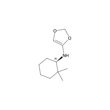 CC1(C)CCCC[C@H]1NC1=COCO1